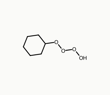 OOOOC1CCCCC1